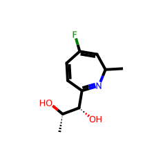 CC1C=C(F)C=CC([C@H](O)[C@H](C)O)=N1